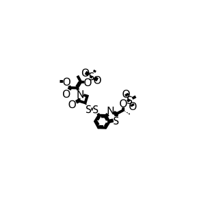 COC(=O)C(=C(C)OS(C)(=O)=O)N1C[C@H](SSc2cccc3sc([C@@H](C)OS(C)(=O)=O)nc23)C1=O